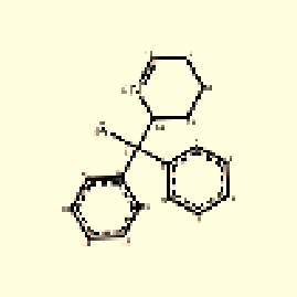 CCCC(c1ccccc1)(c1ccccc1)C1CCCC=N1